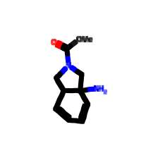 COC(=O)N1CC2C=CC=CC2(N)C1